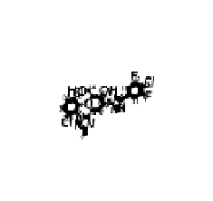 Cc1nc([C@H]2[CH][C@@H](n3cc(-c4cc(F)c(Cl)c(F)c4)nn3)[C@H](O)[C@H](CO)O2)n(-c2cc(Cl)ccc2Cl)n1